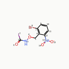 O=C(I)NOCc1c(Br)cccc1[N+](=O)[O-]